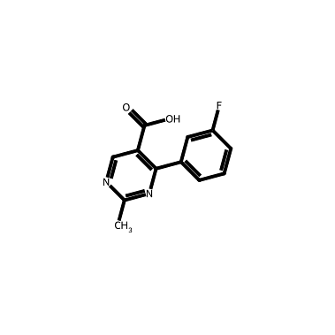 Cc1ncc(C(=O)O)c(-c2cccc(F)c2)n1